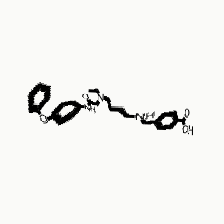 CCN(CCCCNCc1ccc(C(=O)O)cc1)CC(=O)Nc1ccc(Oc2ccccc2)cc1